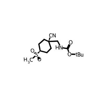 CC(C)(C)OC(=O)NC[C@]1(C#N)CC[C@@H](S(C)(=O)=O)CC1